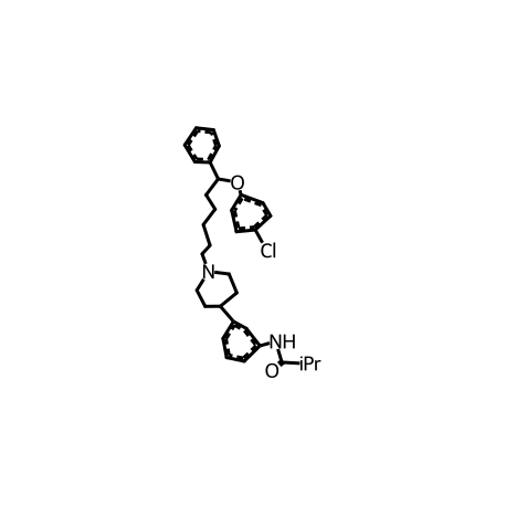 CC(C)C(=O)Nc1cccc(C2CCN(CCCCCC(Oc3ccc(Cl)cc3)c3ccccc3)CC2)c1